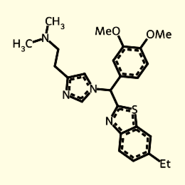 CCc1ccc2nc(C(c3ccc(OC)c(OC)c3)n3cnc(CCN(C)C)c3)sc2c1